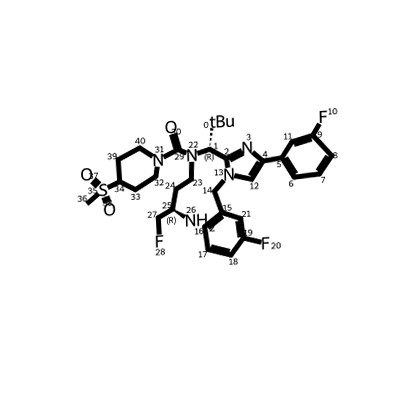 CC(C)(C)[C@H](c1nc(-c2cccc(F)c2)cn1Cc1cccc(F)c1)N(CC[C@@H](N)CF)C(=O)N1CCC(S(C)(=O)=O)CC1